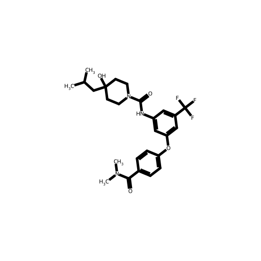 CC(C)CC1(O)CCN(C(=O)Nc2cc(Oc3ccc(C(=O)N(C)C)cc3)cc(C(F)(F)F)c2)CC1